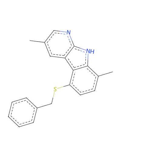 Cc1cnc2[nH]c3c(C)ccc(SCc4ccccc4)c3c2c1